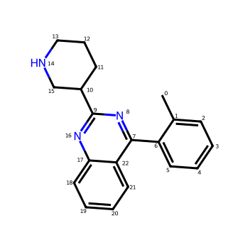 Cc1ccccc1-c1nc(C2CCCNC2)nc2ccccc12